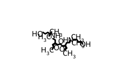 Cc1cc(CCNC(C)(C)CCCO)c(C(=O)c2oc(C)cc2CCNC(C)(C)CCCO)o1